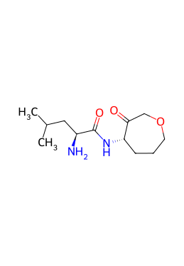 CC(C)C[C@H](N)C(=O)N[C@H]1CCCOCC1=O